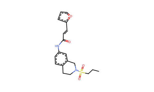 CCCS(=O)(=O)N1CCc2ccc(NC(=O)/C=C/c3ccco3)cc2C1